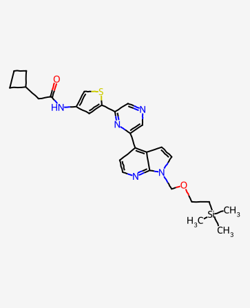 C[Si](C)(C)CCOCn1ccc2c(-c3cncc(-c4cc(NC(=O)CC5CCC5)cs4)n3)ccnc21